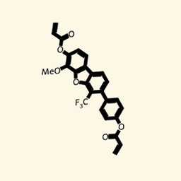 C=CC(=O)Oc1ccc(-c2ccc3c(oc4c(OC)c(OC(=O)C=C)ccc43)c2C(F)(F)F)cc1